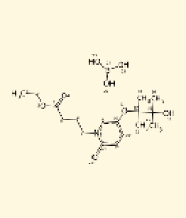 CCOC(=O)CCCn1cc(OC(C)(C)C(C)(C)O)ccc1=O.OB(O)O